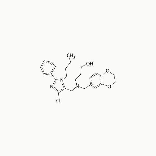 CCCCn1c(-c2ccccc2)nc(Cl)c1CN(CCCO)Cc1ccc2c(c1)OCCO2